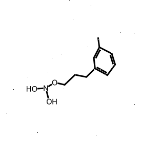 Cc1cccc(CCCON(O)O)c1